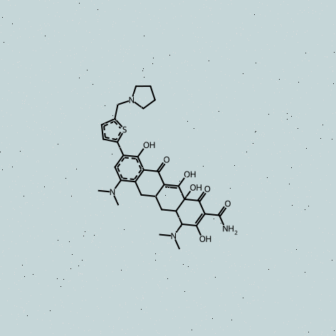 CN(C)c1cc(-c2ccc(CN3CCCC3)s2)c(O)c2c1CC1CC3C(N(C)C)C(O)=C(C(N)=O)C(=O)C3(O)C(O)=C1C2=O